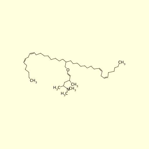 CCCCC/C=C\C/C=C\CCCCCCCCC(CCCCCCCC/C=C\C/C=C\CCCCC)CO/C=C/C(C)CC(C)N(C)C